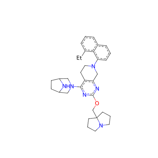 CCc1cccc2cccc(N3CCc4c(nc(OCC56CCCN5CCC6)nc4N4CC5CCC(C4)N5)C3)c12